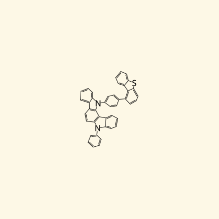 c1ccc(-n2c3ccccc3c3c2ccc2c4ccccc4n(-c4ccc(-c5cccc6sc7ccccc7c56)cc4)c23)cc1